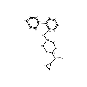 O=C(C1CC1)N1CCN(Cc2ccccc2-c2ccccc2)CC1